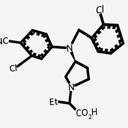 CCC(C(=O)O)N1CC[C@H](N(Cc2ccccc2Cl)c2ccc(C#N)c(Cl)c2)C1